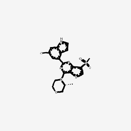 C[C@@H]1COCCN1c1nc(-c2cc(Cl)cc3[nH]ccc23)nc2c(S(C)(=O)=O)csc12